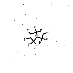 FCC(F)(F)[Si](C(F)(F)CF)C(F)(F)CF